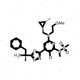 COCCN(C[C@H]1C[C@@H]1C)c1cc(-c2nnc([C@](C)(N)Cc3ccccc3)o2)c(Cl)c(N(C)S(C)(=O)=O)n1